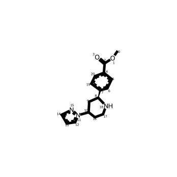 COC(=O)c1ccc([C@@H]2CC(n3cccn3)CCN2)cc1